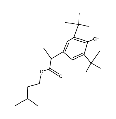 CC(C)CCOC(=O)C(C)c1cc(C(C)(C)C)c(O)c(C(C)(C)C)c1